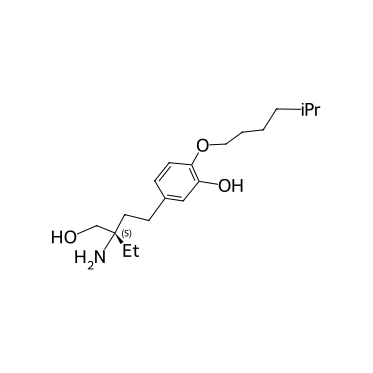 CC[C@@](N)(CO)CCc1ccc(OCCCCC(C)C)c(O)c1